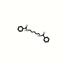 O=C(NCCCCCNC(=O)c1ccccc1)c1ccccc1